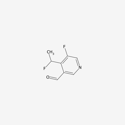 CC(F)c1c(F)cncc1C=O